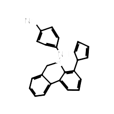 N#Cc1ccc(NB2Cc3ccccc3-c3cccc(C4C=CC=C4)c32)cc1